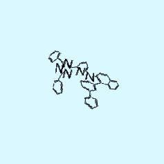 c1ccc(-c2ccc3c(c2)c2c4ccccc4ccc2n3-c2cccc(-c3nc(-c4ccccc4)nc(-c4ccccc4)n3)n2)cc1